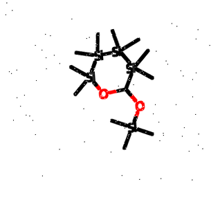 C[Si](C)(C)OC1O[Si](C)(C)[Si](C)(C)[Si](C)(C)[Si]1(C)C